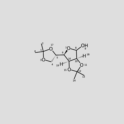 CC1(C)OC[C@@H]([C@H]2OC(O)[C@H]3OC(C)(C)O[C@@H]23)O1